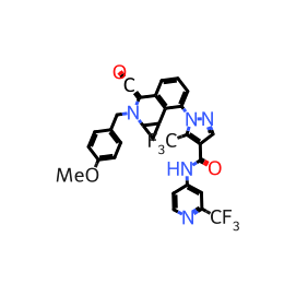 COc1ccc(CN2C(=C=O)c3cccc(-n4ncc(C(=O)Nc5ccnc(C(F)(F)F)c5)c4C(F)(F)F)c3C3CC32)cc1